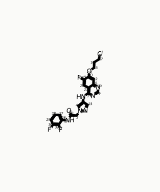 O=C(Cn1cc(Nc2ncnc3cc(OCCCCl)c(F)cc23)cn1)Nc1cccc(F)c1F